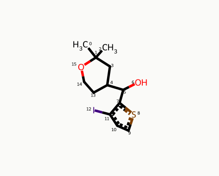 CC1(C)CC(C(O)c2sccc2I)CCO1